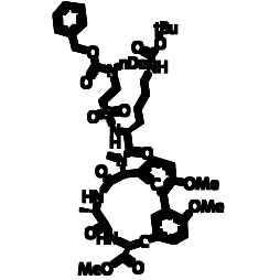 CCCCCCCCCCN(CCS(=O)(=O)N[C@@H](CCCCNC(=O)OC(C)(C)C)C(=O)N(C)[C@@H]1C(=O)N[C@@H](C)C(=O)N[C@H](C(=O)OC)Cc2ccc(OC)c(c2)-c2cc1ccc2OC)C(=O)OCc1ccccc1